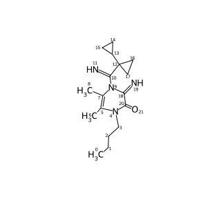 CCCCn1c(C)c(C)n(C(=N)C2(C3CC3)CC2)c(=N)c1=O